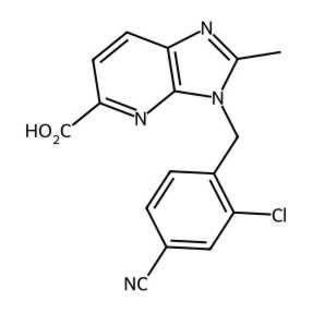 Cc1nc2ccc(C(=O)O)nc2n1Cc1ccc(C#N)cc1Cl